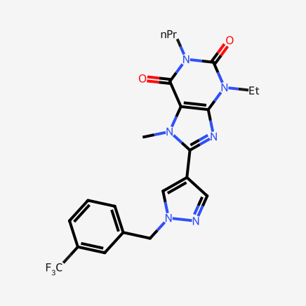 CCCn1c(=O)c2c(nc(-c3cnn(Cc4cccc(C(F)(F)F)c4)c3)n2C)n(CC)c1=O